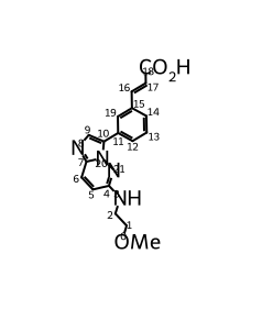 COCCNc1ccc2ncc(-c3cccc(C=CC(=O)O)c3)n2n1